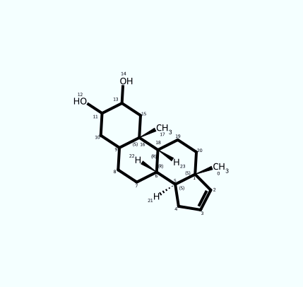 C[C@@]12C=CC[C@H]1[C@@H]1CCC3CC(O)C(O)C[C@]3(C)[C@@H]1CC2